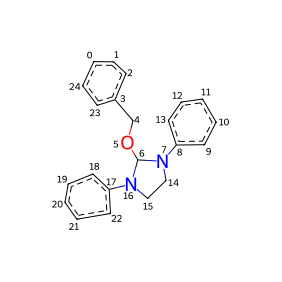 c1ccc(COC2N(c3ccccc3)CCN2c2ccccc2)cc1